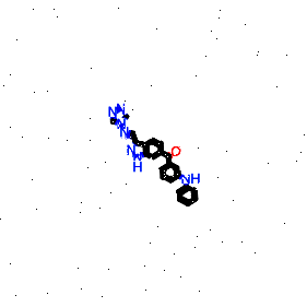 O=C(c1cccc(Nc2ccccc2)c1)c1ccc2c(/C=N/n3cnnc3)n[nH]c2c1